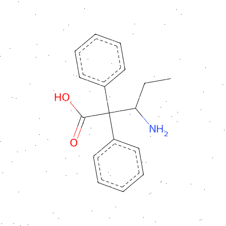 CCC(N)C(C(=O)O)(c1ccccc1)c1ccccc1